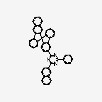 c1ccc(-c2nc(-c3ccc4c(c3)-c3ccccc3C43c4ccccc4-c4cc5ccccc5cc43)nc(-c3ccc4ccccc4c3)n2)cc1